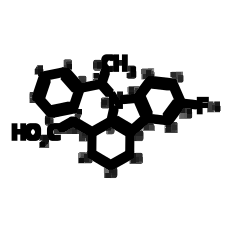 CC(c1ccccc1)n1c2c(c3cc(F)ccc31)CCCC2CC(=O)O